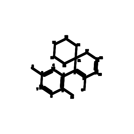 CC1=C(c2nc(C)ncc2C)C2(CCCCC2)CN=N1